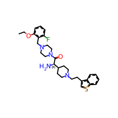 CCOc1cccc(F)c1CN1CCN(C(=O)[C@H](N)C2CCN(CCc3csc4ccccc34)CC2)CC1